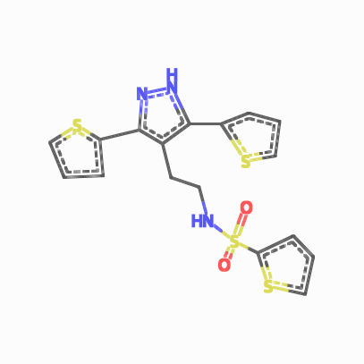 O=S(=O)(NCCc1c(-c2cccs2)n[nH]c1-c1cccs1)c1cccs1